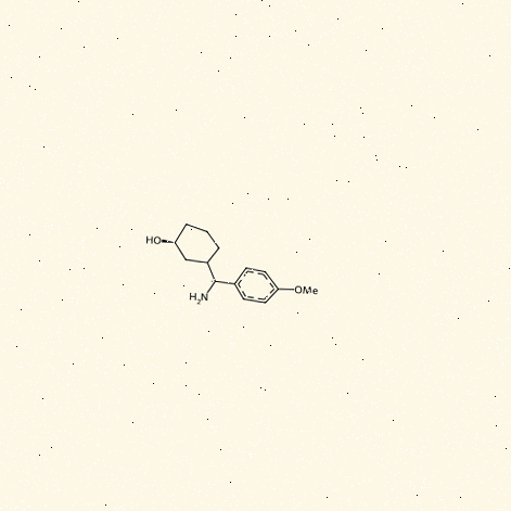 COc1ccc([C](N)C2CCC[C@H](O)C2)cc1